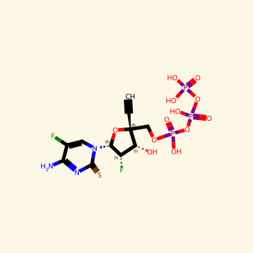 C#C[C@]1(COP(=O)(O)OP(=O)(O)OP(=O)(O)O)O[C@@H](n2cc(F)c(N)nc2=S)[C@@H](F)[C@H]1O